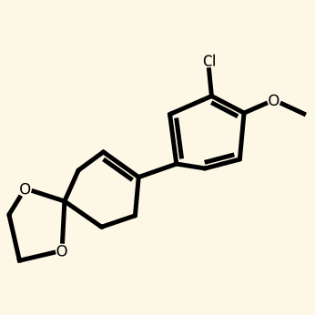 COc1ccc(C2=CCC3(CC2)OCCO3)cc1Cl